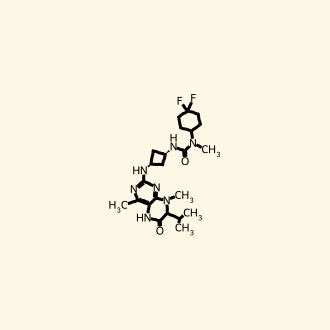 Cc1nc(N[C@H]2C[C@@H](NC(=O)N(C)C3CCC(F)(F)CC3)C2)nc2c1NC(=O)C(C(C)C)N2C